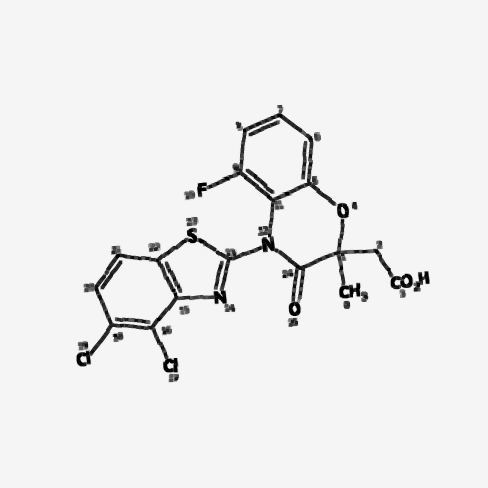 CC1(CC(=O)O)Oc2cccc(F)c2N(c2nc3c(Cl)c(Cl)ccc3s2)C1=O